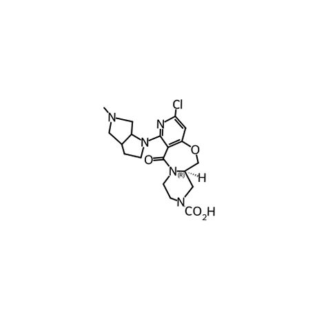 CN1CC2CCN(c3nc(Cl)cc4c3C(=O)N3CCN(C(=O)O)C[C@@H]3CO4)C2C1